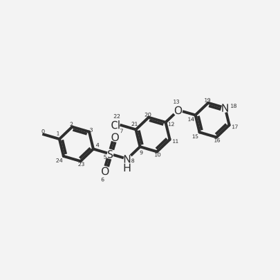 Cc1ccc(S(=O)(=O)Nc2ccc(Oc3cccnc3)cc2Cl)cc1